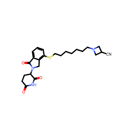 N#CC1CN(CCCCCCCSc2cccc3c2CN(C2CCC(=O)NC2=O)C3=O)C1